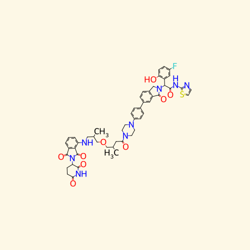 CC(CNc1cccc2c1C(=O)N(C1CCC(=O)NC1=O)C2=O)COCC(C)CC(=O)N1CCN(c2ccc(-c3ccc4c(c3)C(=O)N(C(C(=O)Nc3nccs3)c3cc(F)ccc3O)C4)cc2)CC1